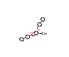 C#Cc1cc2cc(-c3ccc(-c4ccccc4)cc3)oc2cc1OCc1ccc(-c2ccccc2)cc1